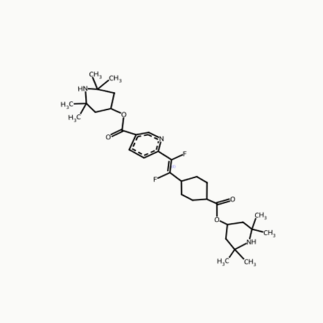 CC1(C)CC(OC(=O)c2ccc(/C(F)=C(\F)C3CCC(C(=O)OC4CC(C)(C)NC(C)(C)C4)CC3)nc2)CC(C)(C)N1